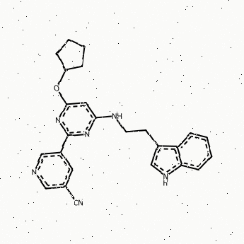 N#Cc1cncc(-c2nc(NCCc3c[nH]c4ccccc34)cc(OC3CCCC3)n2)c1